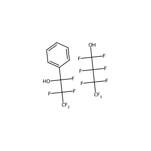 OC(F)(F)C(F)(F)C(F)(F)C(F)(F)F.OC(F)(c1ccccc1)C(F)(F)C(F)(F)F